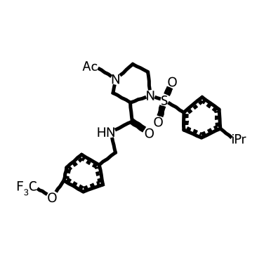 CC(=O)N1CCN(S(=O)(=O)c2ccc(C(C)C)cc2)C(C(=O)NCc2ccc(OC(F)(F)F)cc2)C1